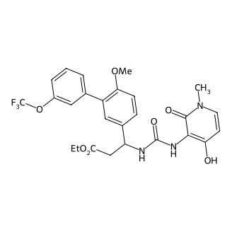 CCOC(=O)CC(NC(=O)Nc1c(O)ccn(C)c1=O)c1ccc(OC)c(-c2cccc(OC(F)(F)F)c2)c1